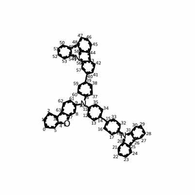 c1ccc2c(c1)oc1cc(N(c3ccc(-c4ccc(-n5c6ccccc6c6ccccc65)cc4)cc3)c3ccc(-c4ccc5c6cccc7c8ccccc8n(c5c4)c76)cc3)ccc12